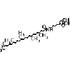 CC(C)=CCC/C(C)=C/CC/C(C)=C/CC/C=C(\C)CC/C=C(\C)CCC(=O)NCCCCCCOP(C)(=O)O